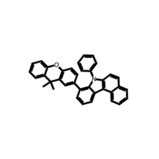 CC1(C)c2ccccc2Oc2ccc(-c3cccc4c5c6ccccc6ccc5n(-c5ccccc5)c34)cc21